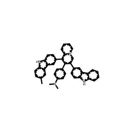 Cc1ccc2[nH]c3ccc(-c4c(-c5ccc(N(C)C)cc5)c(-c5ccc6[nH]c7ccccc7c6c5)c[n+]5ccccc45)cc3c2c1